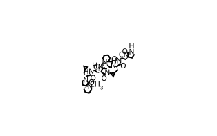 CN1CCCC[C@@]12CCN([C@H](CC1CC1)C(=O)N[C@H](C#N)C[C@@H]1CCN(C3CC3C[C@H](C(=O)N[C@H](C#N)C[C@@H]3CCNC3=O)N3CC[C@]4(CCCCN4C)C3=O)C1=O)C2=O